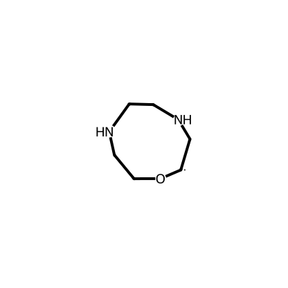 [CH]1CNCCNCCO1